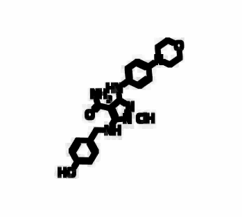 Cl.NC(=O)C1=C(NCc2ccc(O)cc2)N=NC1Nc1ccc(N2CCOCC2)cc1